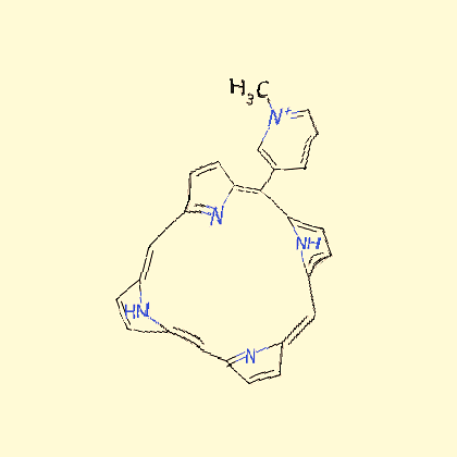 C[n+]1cccc(-c2c3nc(cc4ccc(cc5nc(cc6ccc2[nH]6)C=C5)[nH]4)C=C3)c1